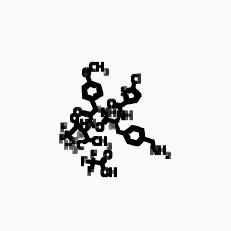 COc1ccc([C@H](NC(=O)[C@H](Cc2ccc(CN)cc2)NC(=O)c2ccc(Cl)s2)C(=O)N[C@H](C(=O)C(F)(F)F)C(C)C)cc1.O=C(O)C(F)(F)F